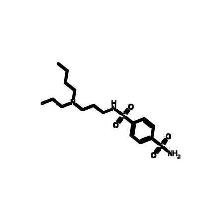 CCCCN(CCC)CCCNS(=O)(=O)c1ccc(S(N)(=O)=O)cc1